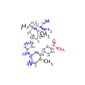 Cc1cnc(Nc2cnn([C@H]3C[C@@H](C)N(C(C)[C@H](N)C#N)[C@@H](C)C3)c2)nc1-c1ccc(C(=O)O)cc1